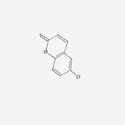 S=c1ccc2cc(Cl)ccc2o1